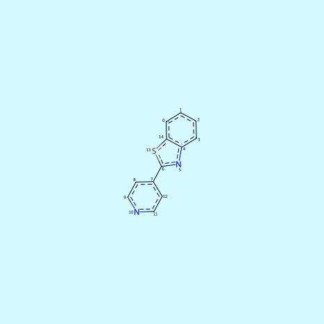 [c]1cccc2nc(-c3ccncc3)sc12